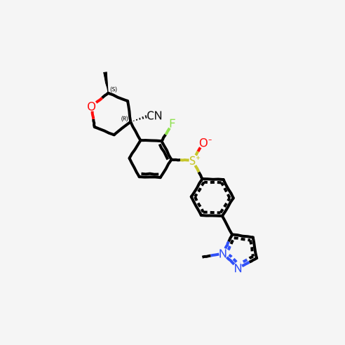 C[C@H]1C[C@@](C#N)(C2CC=CC([S+]([O-])c3ccc(-c4ccnn4C)cc3)=C2F)CCO1